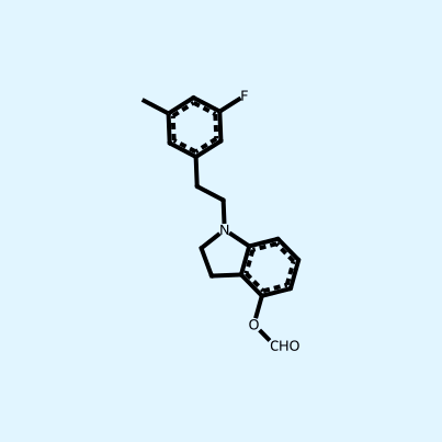 Cc1cc(F)cc(CCN2CCc3c(OC=O)cccc32)c1